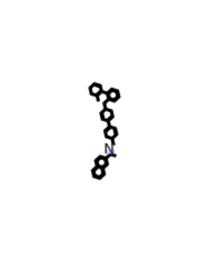 CC1=C(c2ccccc2CC2C=CC(C3=CCC(C/N=C(\C)c4ccc5ccccc5c4)C=C3)=CC2)C=CCC1